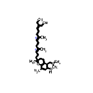 C/C(=C\CC/C(C)=C/CCC1(C)CCc2c(CN(C)C)c(O)cc(C)c2O1)CCC=C(CO)CO